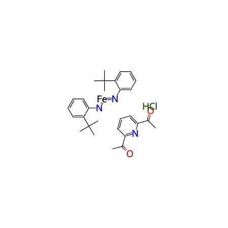 CC(=O)c1cccc(C(C)=O)n1.CC(C)(C)c1ccccc1[N]=[Fe]=[N]c1ccccc1C(C)(C)C.Cl